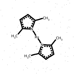 Cc1ccc(C)[n]1[Ru][n]1c(C)ccc1C